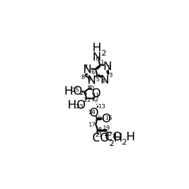 Nc1ncnc2c1ncn2[C@@H]1O[C@H](COC(=O)CC(=CC(=O)O)C(=O)O)C(O)C1O